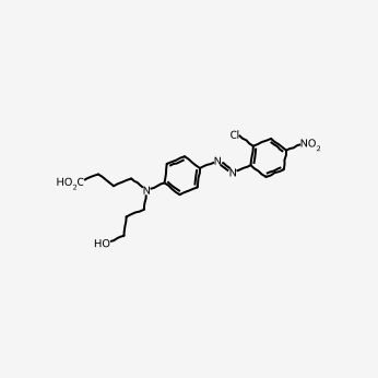 O=C(O)CCCN(CCCO)c1ccc(/N=N/c2ccc([N+](=O)[O-])cc2Cl)cc1